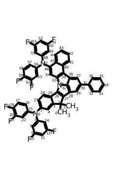 CC1(C)c2cc(N(c3cc(F)cc(F)c3)c3ccc(F)c(F)c3)ccc2-c2c1c1cc(-c3ccccc3)cc3c4c5ccccc5c(N(c5cc(F)cc(F)c5)c5ccc(F)c(F)c5)cc4n2c13